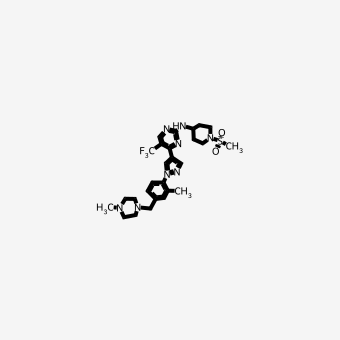 Cc1cc(CN2CCN(C)CC2)ccc1-n1cc(-c2nc(NC3CCN(S(C)(=O)=O)CC3)ncc2C(F)(F)F)cn1